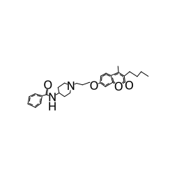 CCCCc1c(C)c2ccc(OCCCN3CCC(NC(=O)c4ccccc4)CC3)cc2oc1=O